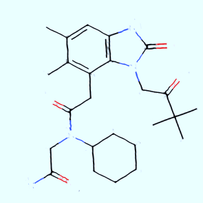 Cc1cc2[nH]c(=O)n(CC(=O)C(C)(C)C)c2c(CC(=O)N(CC(N)=O)C2CCCCC2)c1C